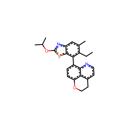 CCc1c(C)cc2nc(OC(C)C)sc2c1-c1ccc2c3c(ccnc13)CCO2